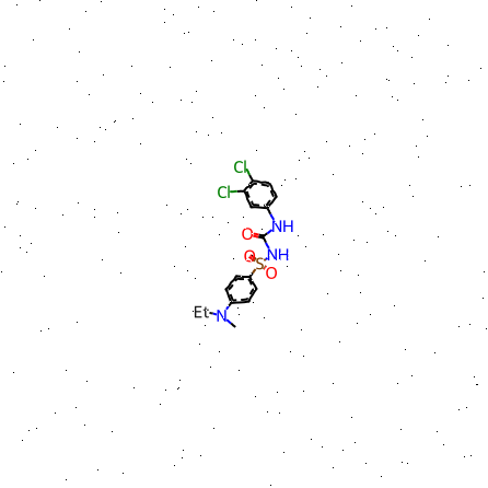 CCN(C)c1ccc(S(=O)(=O)NC(=O)Nc2ccc(Cl)c(Cl)c2)cc1